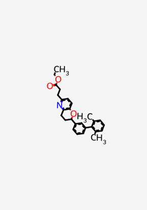 CCOC(=O)CCc1ccc2c(n1)CCC(c1cccc(-c3c(C)cccc3C)c1)O2